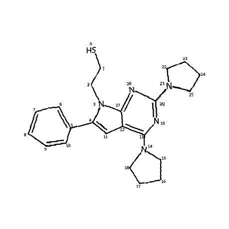 SCCn1c(-c2ccccc2)cc2c(N3CCCC3)nc(N3CCCC3)nc21